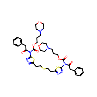 O=C(Cc1ccccc1)N(C(=O)OCCCN1CCOCC1)c1nnc(CCSCCc2nnc(N(C(=O)Cc3ccccc3)C(=O)OCCCN3CCOCC3)s2)s1